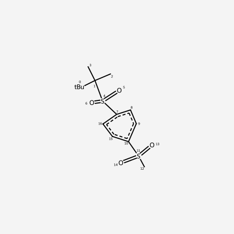 CC(C)(C)C(C)(C)S(=O)(=O)c1ccc(S(C)(=O)=O)cc1